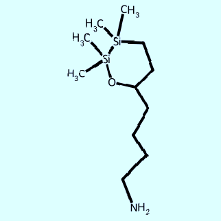 C[Si]1(C)CCC(CCCCN)O[Si]1(C)C